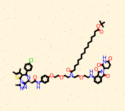 CC1=C(C)C2C(c3ccc(Cl)cc3)=N[C@@H](CC(=O)Nc3ccc(OCCOCCN(CCOCCNc4cccc5c4C(=O)N(C4CCC(=O)NC4=O)C5=O)C(=O)CCCCCCCCCCCCCCC(=O)OC(C)(C)C)cc3)c3nnc(C)n3C2S1